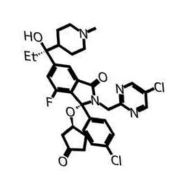 CC[C@@](O)(c1cc(F)c2c(c1)C(=O)N(Cc1ncc(Cl)cn1)[C@@]2(O[C@H]1CCC(=O)C1)c1ccc(Cl)cc1)C1CCN(C)CC1